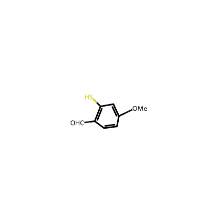 COc1ccc(C=O)c(S)c1